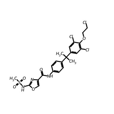 CC(C)(c1ccc(NC(=O)c2coc(NS(C)(=O)=O)n2)cc1)c1cc(Cl)c(OCCCl)c(Cl)c1